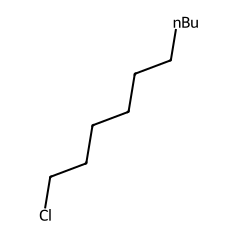 [CH2]CCCCCCCCCCl